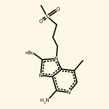 CCCCc1nc2c(N)ncc(C)c2n1CCCS(C)(=O)=O